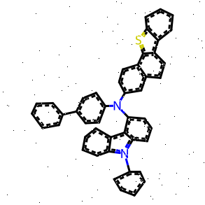 c1ccc(-c2ccc(N(c3ccc4c(ccc5c6ccccc6sc45)c3)c3cccc4c3c3ccccc3n4-c3ccccc3)cc2)cc1